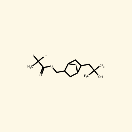 CCC(C)(I)C(=O)OCC1CC2SC1CC2CC(O)(C(F)(F)F)C(F)(F)F